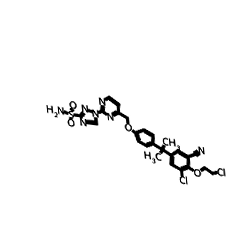 CC(C)(c1ccc(OCc2ccnc(-n3cnc(S(N)(=O)=O)n3)n2)cc1)c1cc(Cl)c(OCCCl)c(C#N)c1